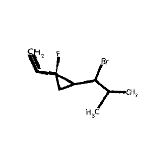 C=C[C@@]1(F)CC1C(Br)C(C)C